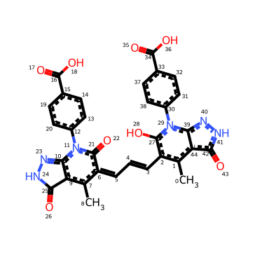 Cc1c(C=CC=c2c(C)c3c(n(-c4ccc(C(=O)O)cc4)c2=O)=NNC3=O)c(O)n(-c2ccc(C(=O)O)cc2)c2n[nH]c(=O)c1-2